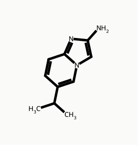 CC(C)c1ccc2nc(N)cn2c1